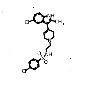 Cc1[nH]c2ccc(Cl)cc2c1C1=CCN(CCNS(=O)(=O)c2ccc(Cl)cc2)CC1